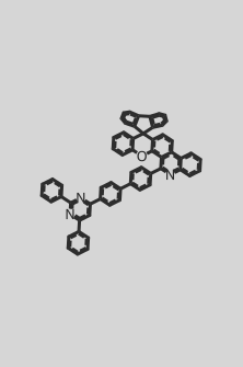 c1ccc(-c2cc(-c3ccc(-c4ccc(-c5nc6ccccc6c6ccc7c(c56)Oc5ccccc5C75c6ccccc6-c6ccccc65)cc4)cc3)nc(-c3ccccc3)n2)cc1